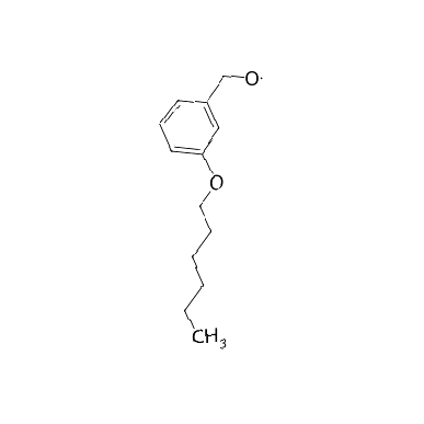 CCCCCCOc1cccc(C[O])c1